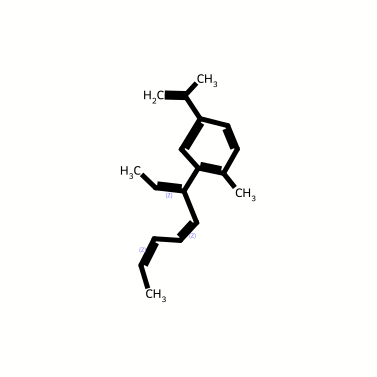 C=C(C)c1ccc(C)c(C(/C=C\C=C/C)=C\C)c1